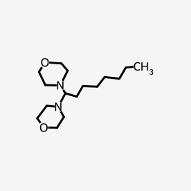 CCCCCCCC(N1CCOCC1)N1CCOCC1